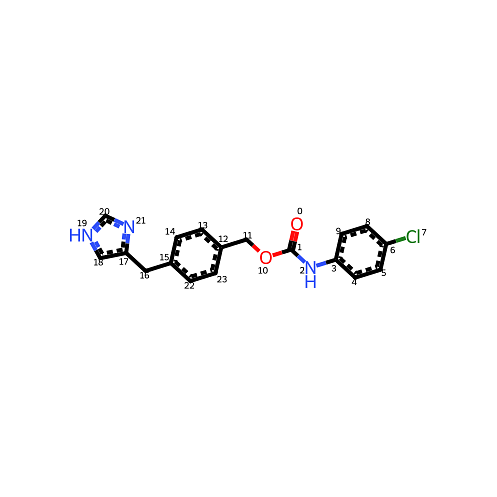 O=C(Nc1ccc(Cl)cc1)OCc1ccc(Cc2c[nH]cn2)cc1